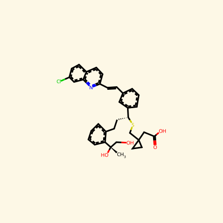 C[C@](O)(CO)c1ccccc1CC[C@@H](SCC1(CC(=O)O)CC1)c1cccc(/C=C/c2ccc3ccc(Cl)cc3n2)c1